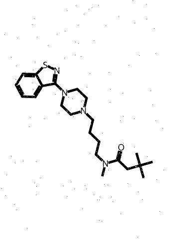 CN(CCCCN1CCN(c2nsc3ccccc23)CC1)C(=O)CC(C)(C)C